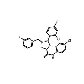 C=C(Nc1ccc(Cl)cc1)C1CN(Cc2cccc(F)c2)N(c2ccc(Cl)cc2Cl)C1